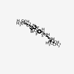 CC(C)(C)OC(=O)NCCCNC(=S)Nc1cc(F)c(Oc2ccnc3c2c(Br)cn3COCC[Si](C)(C)C)c(F)c1